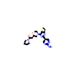 Nc1ncc(-c2nc3c(c(N4CCOC(CC(=O)N5CCCC5)C4)n2)SCC3)cn1